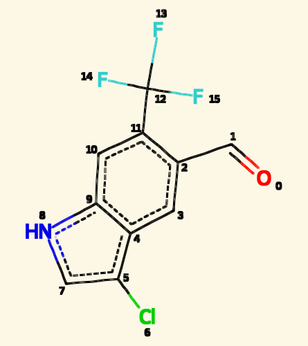 O=Cc1cc2c(Cl)c[nH]c2cc1C(F)(F)F